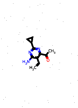 C=Cc1c(N)nc(C2CC2)nc1C(C)=O